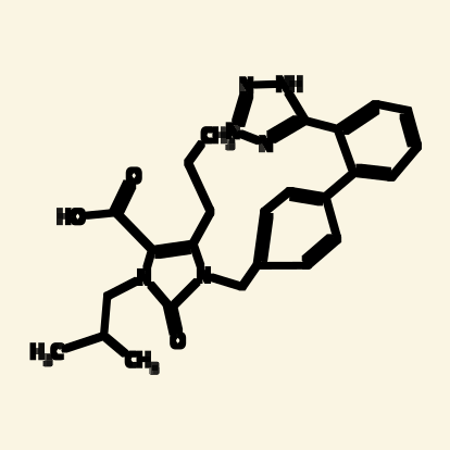 CCCc1c(C(=O)O)n(CC(C)C)c(=O)n1Cc1ccc(-c2ccccc2-c2nnn[nH]2)cc1